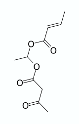 CC=CC(=O)OC(C)OC(=O)CC(C)=O